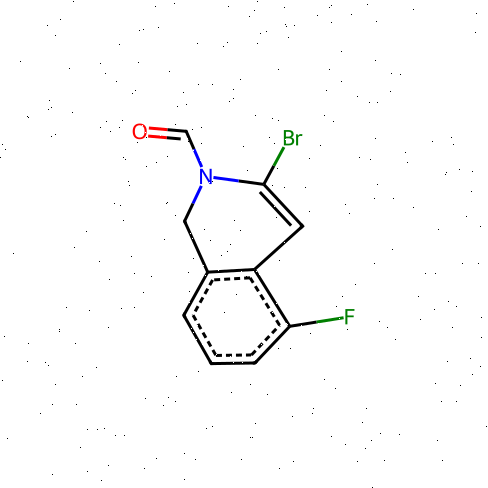 O=CN1Cc2cccc(F)c2C=C1Br